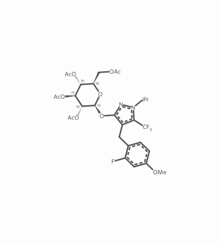 COc1ccc(Cc2c(O[C@@H]3O[C@H](COC(C)=O)[C@@H](OC(C)=O)[C@H](OC(C)=O)[C@H]3OC(C)=O)nn(C(C)C)c2C(F)(F)F)c(F)c1